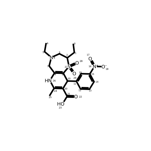 CCC1CN(CC)CC2=C(C(c3cccc([N+](=O)[O-])c3)C(C(=O)O)=C(C)N2)S1(=O)=O